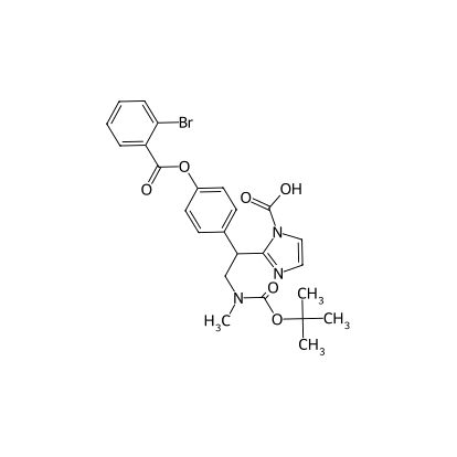 CN(CC(c1ccc(OC(=O)c2ccccc2Br)cc1)c1nccn1C(=O)O)C(=O)OC(C)(C)C